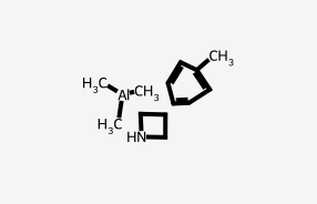 C1CNC1.Cc1ccccc1.[CH3][Al]([CH3])[CH3]